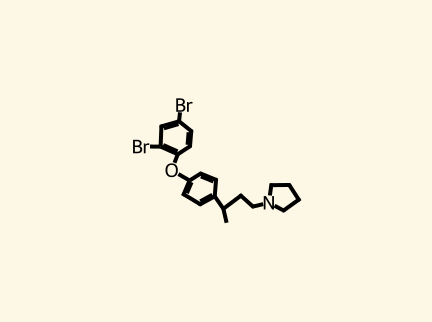 CC(CCN1CCCC1)c1ccc(Oc2ccc(Br)cc2Br)cc1